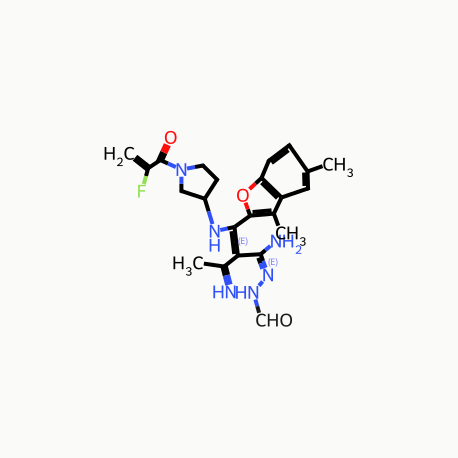 C=C(F)C(=O)N1CCC(N/C(=C(C(C)=N)/C(N)=N\NC=O)c2oc3ccc(C)cc3c2C)C1